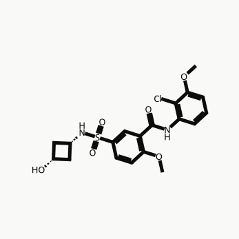 COc1ccc(S(=O)(=O)N[C@H]2C[C@@H](O)C2)cc1C(=O)Nc1cccc(OC)c1Cl